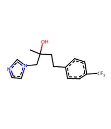 CC(O)(CCc1ccc(C(F)(F)F)cc1)Cn1ccnc1